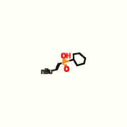 CCCCC=CP(=O)(O)C1CCCCC1